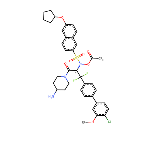 CCOc1cc(-c2ccc(C(F)(F)[C@@H](C(=O)N3CCC(N)CC3)N(OC(=O)C(F)(F)F)S(=O)(=O)c3ccc4cc(OC5CCCC5)ccc4c3)cc2)ccc1Cl